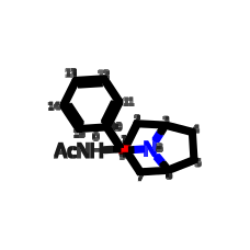 CC(=O)NC1CC2CCC(C1)N2Cc1ccccc1